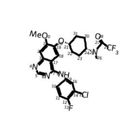 COc1cc2ncnc(Nc3ccc(F)c(Cl)c3)c2cc1O[C@H]1CC[C@@H](N(C)C(=O)C(F)(F)F)CC1